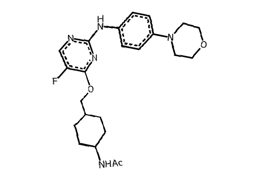 CC(=O)NC1CCC(COc2nc(Nc3ccc(N4CCOCC4)cc3)ncc2F)CC1